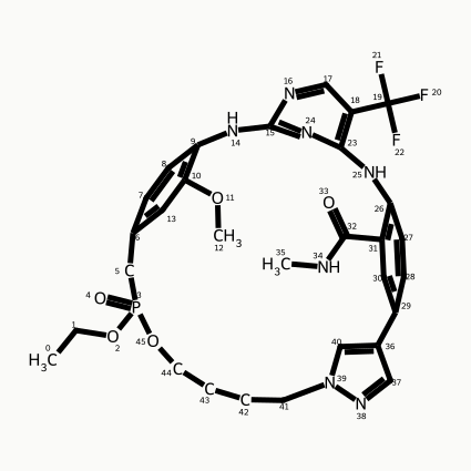 CCOP1(=O)Cc2ccc(c(OC)c2)Nc2ncc(C(F)(F)F)c(n2)Nc2ccc(cc2C(=O)NC)-c2cnn(c2)CCCCO1